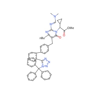 CCCCc1nc(N=CN(C)C)n(C(C(=O)OC)C2CC2)c(=O)c1Cc1ccc(-c2ccccc2-c2nnnn2C(c2ccccc2)(c2ccccc2)c2ccccc2)cc1